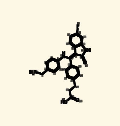 NCc1ccc(NC(=C2C(=O)Nc3cc(F)ccc32)c2ccc(CCC(=O)O)cc2)cc1